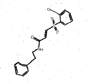 O=C(/C=C/S(=O)(=O)c1ccccc1Cl)NCCc1ccccc1